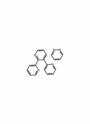 c1ccc(-c2cccnc2-c2ccccn2)nc1.c1ccnnc1